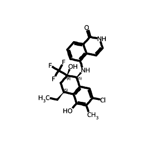 CC[C@H]1C[C@](O)(C(F)(F)F)[C@@H](Nc2cccc3c(=O)[nH]ccc23)c2cc(Cl)c(C)c(O)c21